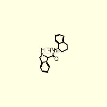 O=C(N[C@@H]1CCCc2ccccc21)C1NCc2ccccc21